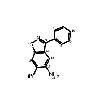 CC(C)c1cc2snc(-c3ccccc3)c2cc1N